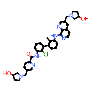 Cc1c(Nc2nccc3cc(CN4CCC(O)C4)cnc23)cccc1-c1cccc(NC(=O)c2ccc(CN3CCC(O)C3)cn2)c1Cl